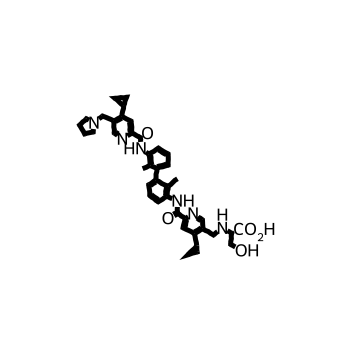 Cc1c(NC(=O)c2cc(C3CC3)c(CN[C@H](CO)C(=O)O)cn2)cccc1-c1cccc(NC(=O)c2cc(C3CC3)c(CN3CCCC3)cn2)c1C